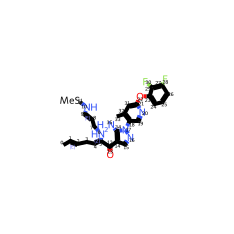 C/C=C/C/C=C(\NC/C=C/NSC)C(=O)c1cnn(-c2cnc(Oc3cccc(F)c3F)cc2C)c1N